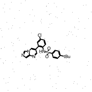 CC(C)(C)c1ccc(S(=O)(=O)Nc2ccc(Cl)cc2-c2cnc3cncn3c2)cc1